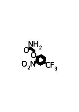 NC(=O)COc1ccc(C(F)(F)F)cc1[N+](=O)[O-]